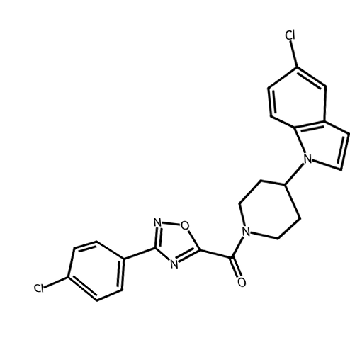 O=C(c1nc(-c2ccc(Cl)cc2)no1)N1CCC(n2ccc3cc(Cl)ccc32)CC1